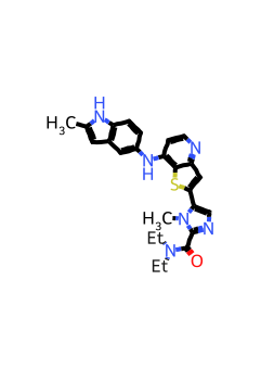 CCN(CC)C(=O)c1ncc(-c2cc3nccc(Nc4ccc5[nH]c(C)cc5c4)c3s2)n1C